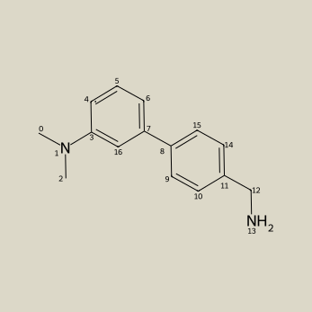 CN(C)c1[c]ccc(-c2ccc(CN)cc2)c1